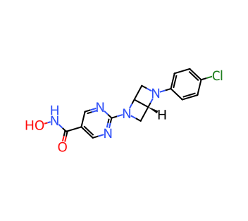 O=C(NO)c1cnc(N2C[C@@H]3C2CN3c2ccc(Cl)cc2)nc1